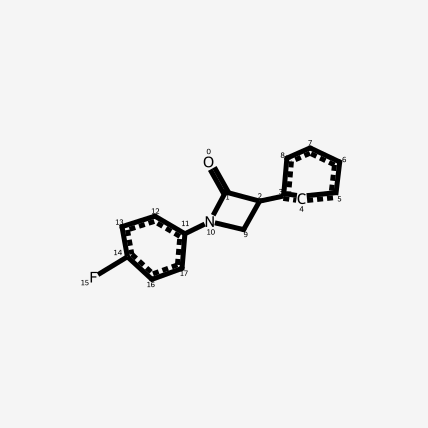 O=C1C(c2ccccc2)CN1c1ccc(F)cc1